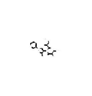 CSCC(C)C(=O)N(C(=O)C(C)CSC)c1cn(-c2cccnc2)nc1C